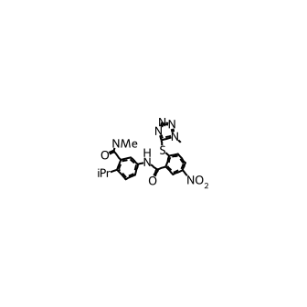 CNC(=O)c1cc(NC(=O)c2cc([N+](=O)[O-])ccc2Sc2nnnn2C)ccc1C(C)C